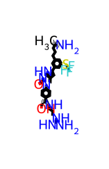 C[C@H](N)CCCc1cc(SC(F)(F)F)cc(-c2cc3cn(-c4ccc([C@H](CO)NCCCNC(=N)N)cc4)c(=O)nc3[nH]2)c1